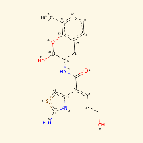 Nc1nc(C(=CCCO)C(=O)N[C@H]2Cc3cccc(C(=O)O)c3OB2O)cs1